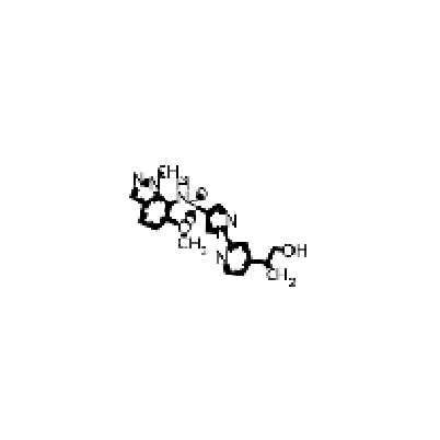 C=C(CO)c1ccnc(-n2cc(S(=O)(=O)Nc3c(OC)ccc4cnn(C)c34)cn2)c1